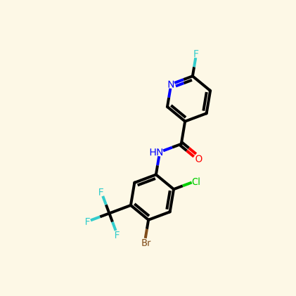 O=C(Nc1cc(C(F)(F)F)c(Br)cc1Cl)c1ccc(F)nc1